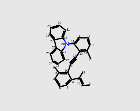 C/C=C(\C)c1cccc(C)c1C#Cc1c(C)cccc1-n1c2ccccc2c2ccccc21